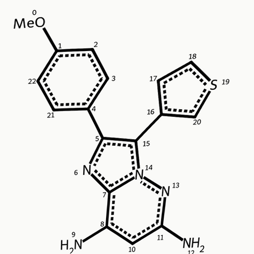 COc1ccc(-c2nc3c(N)cc(N)nn3c2-c2ccsc2)cc1